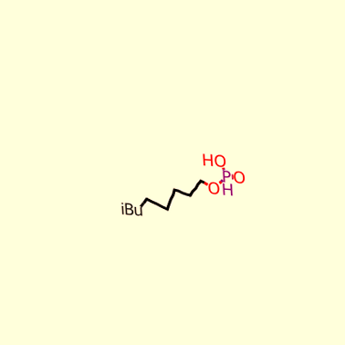 CCC(C)CCCCCO[PH](=O)O